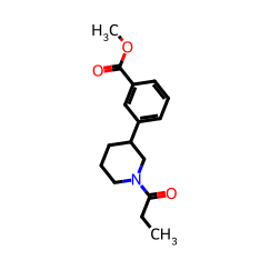 CCC(=O)N1CCCC(c2cccc(C(=O)OC)c2)C1